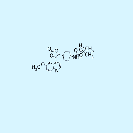 COc1ccc2nccc([C@@H]3OC(=O)O[C@H]3C3CCC(NC(=O)OC(C)(C)C)CC3)c2c1